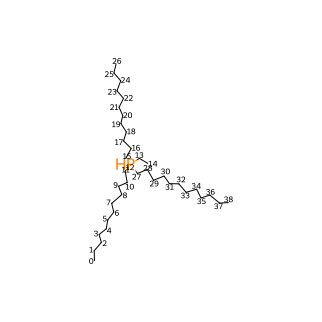 CCCCCCCCCCCC[PH](CC)(CCCCCCCCCCCC)CCCCCCCCCCCC